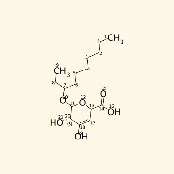 CCCCCCCC(CC)OC1OC(C(=O)O)C=C(O)[C@@H]1O